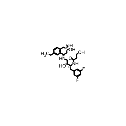 CCc1ccc2c(c1)[C@@H](NC[C@@H](O)[C@H](Cc1cc(F)cc(F)c1)NC(=O)CCO)CS(O)(O)C2